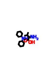 C1CCC(NC2CCCCC2)CC1.CC(C)[C@H](N)C(=O)O